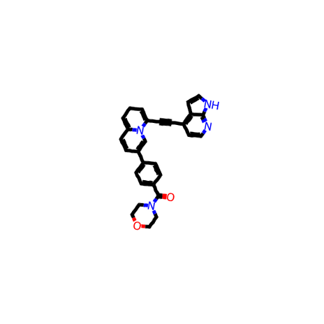 O=C(c1ccc(C2=CN3C(C#Cc4ccnc5[nH]ccc45)=CCC=C3C=C2)cc1)N1CCOCC1